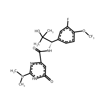 CN(C)c1nc(C(=O)N[C@@H](c2ccc(OC(F)(F)F)c(F)c2)C(C)(C)O)cc(=O)[nH]1